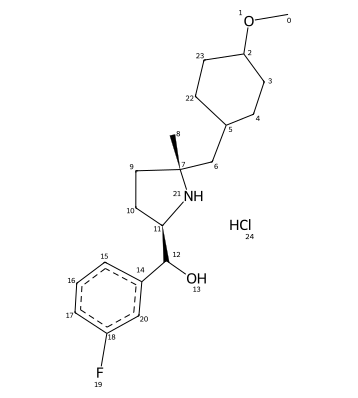 COC1CCC(C[C@@]2(C)CC[C@H](C(O)c3cccc(F)c3)N2)CC1.Cl